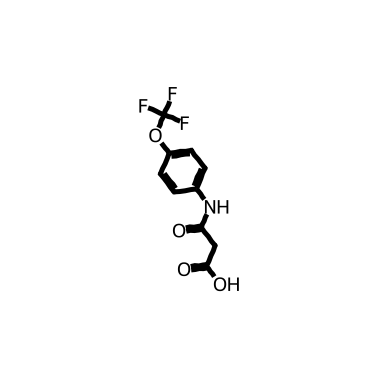 O=C(O)CC(=O)Nc1ccc(OC(F)(F)F)cc1